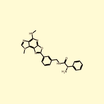 CNc1nc2oc(-c3cccc(CNC(=O)[C@H](N)c4ccccc4)c3)nc2c2c1ncn2C